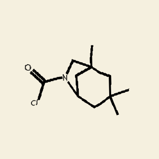 CC1(C)CC2CC(C)(CN2C(=O)Cl)C1